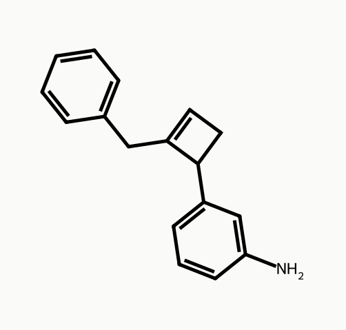 Nc1cccc(C2CC=C2Cc2ccccc2)c1